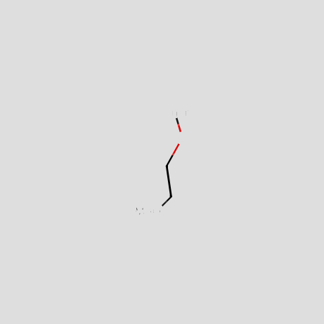 [CH2]CCOCCOC